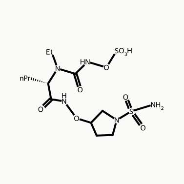 CCC[C@@H](C(=O)NOC1CCN(S(N)(=O)=O)C1)N(CC)C(=O)NOS(=O)(=O)O